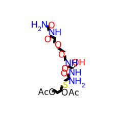 CC(=O)OCC[C@@H](CSC[C@H](N)C(=O)N[C@@H](CO)C(=O)NCCOCCOCCC(=O)NCC(N)=O)OC(C)=O